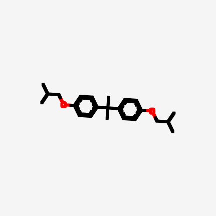 CC(C)COc1ccc(C(C)(C)c2ccc(OCC(C)C)cc2)cc1